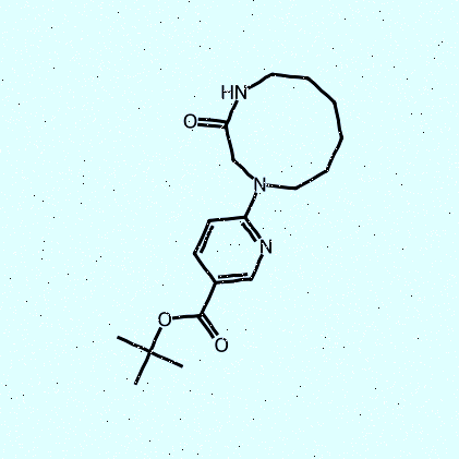 CC(C)(C)OC(=O)c1ccc(N2CCCCCCNC(=O)C2)nc1